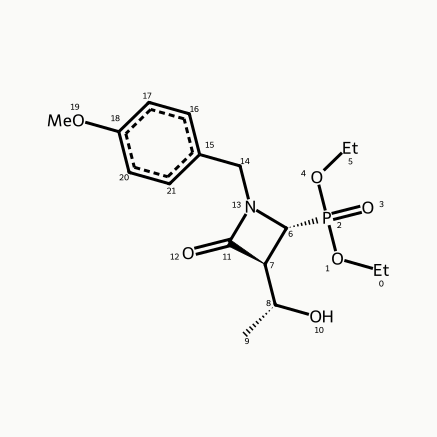 CCOP(=O)(OCC)[C@@H]1[C@@H]([C@@H](C)O)C(=O)N1Cc1ccc(OC)cc1